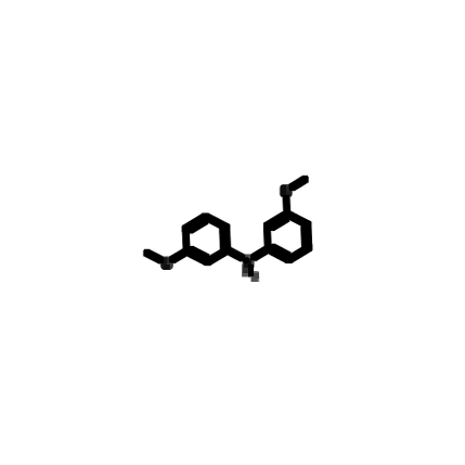 COc1cccc([SiH2]c2cccc(OC)c2)c1